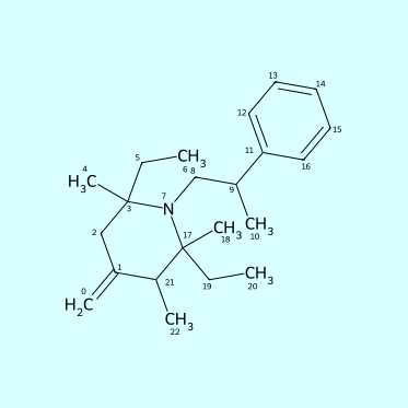 C=C1CC(C)(CC)N(CC(C)c2ccccc2)C(C)(CC)C1C